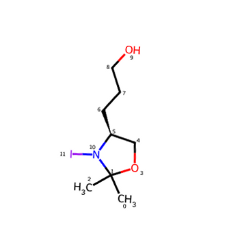 CC1(C)OC[C@H](CCCO)N1I